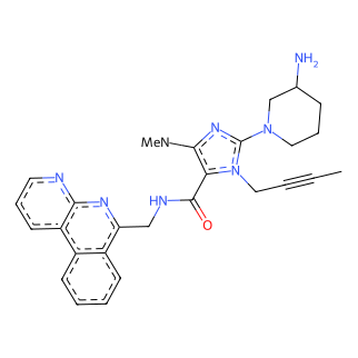 CC#CCn1c(N2CCCC(N)C2)nc(NC)c1C(=O)NCc1nc2ncccc2c2ccccc12